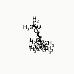 C=C(C)C(=O)OCCC[SiH2]O[Si](C(C)C)(C(C)C)C(C)C